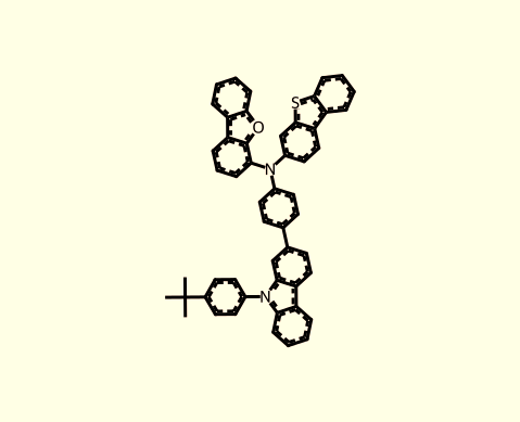 CC(C)(C)c1ccc(-n2c3ccccc3c3ccc(-c4ccc(N(c5ccc6c(c5)sc5ccccc56)c5cccc6c5oc5ccccc56)cc4)cc32)cc1